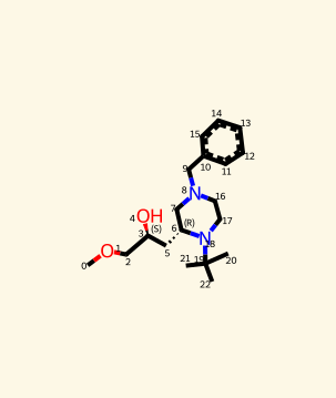 COC[C@@H](O)C[C@@H]1CN(Cc2ccccc2)CCN1C(C)(C)C